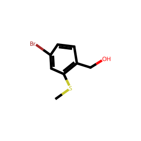 CSc1cc(Br)ccc1CO